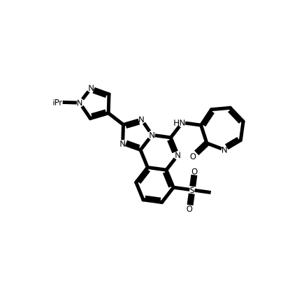 CC(C)n1cc(-c2nc3c4cccc(S(C)(=O)=O)c4nc(Nc4ccccnc4=O)n3n2)cn1